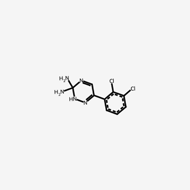 NC1(N)N=CC(c2cccc(Cl)c2Cl)=NN1